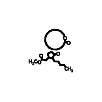 CCCCCC1C(=O)CCC1CC(=O)OC.O=C1CCCCCCCCCCCCCCO1